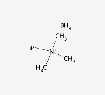 CC(C)[N+](C)(C)C.[BH4-]